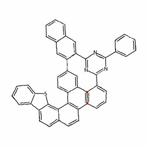 c1ccc(-c2nc(-c3ccccc3)nc(-c3cc4ccccc4cc3-c3ccc4c(ccc5ccc6ccc7c8ccccc8sc7c6c54)c3)n2)cc1